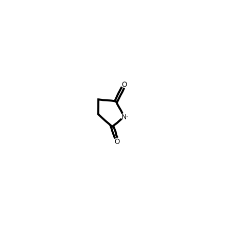 O=C1CCC(=O)[N]1